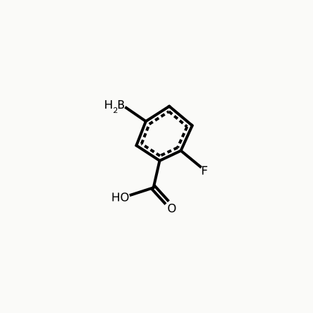 Bc1ccc(F)c(C(=O)O)c1